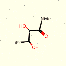 CNC(=O)[C@@H](O)[C@@H](O)C(C)C